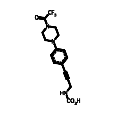 O=C(O)NCC#Cc1ccc(N2CCN(C(=O)C(F)(F)F)CC2)cc1